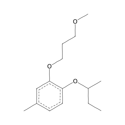 CCC(C)Oc1ccc(C)cc1OCCCOC